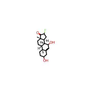 C[C@]12CCC(O)CC1=CC(O)[C@@H]1[C@H]2CC[C@]2(C)C(=O)C(F)C[C@@H]12